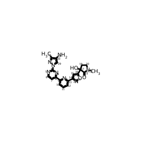 Cc1nn(-c2nccc(-c3cccc(-c4cc(C5(O)CCN(C)C5=O)on4)n3)n2)cc1N